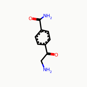 NCC(=O)c1ccc(C(N)=O)cc1